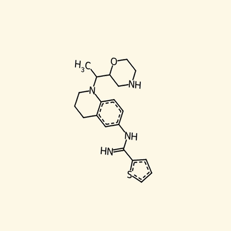 CC(C1CNCCO1)N1CCCc2cc(NC(=N)c3cccs3)ccc21